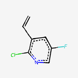 C=Cc1cc(F)cnc1Cl